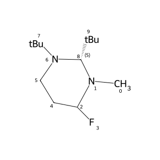 CN1C(F)CCN(C(C)(C)C)[C@@H]1C(C)(C)C